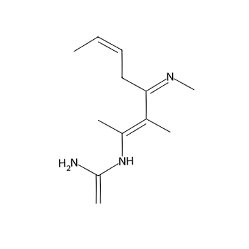 C=C(N)N/C(C)=C(C)/C(C/C=C\C)=N\C